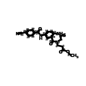 CCOC(=O)CCN1CC(=S)Nc2ccc(NC(=O)c3ccc(C#N)cc3)cc2C1=O